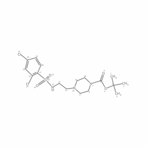 CC(C)(C)OC(=O)N1CCN(CCNS(=O)(=O)c2ccc(Cl)cc2Cl)CC1